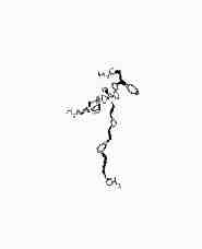 C=CC(=O)OOP(=O)(O)CCOCCOCCC.[MgH2]